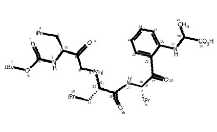 CC(C)C[C@H](NC(=O)OC(C)(C)C)C(=O)CN[C@@H](CC(C)C)C(=O)N[C@H](C(=O)c1ccccc1NC(C)C(=O)O)C(C)C